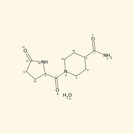 NC(=O)C1CCN(C(=O)C2CCC(=O)N2)CC1.O